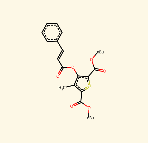 CCCCOC(=O)c1sc(C(=O)OCCCC)c(OC(=O)C=Cc2ccccc2)c1C